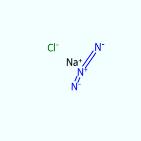 [Cl-].[N-]=[N+]=[N-].[Na+]